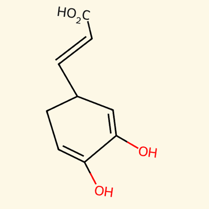 O=C(O)C=CC1C=C(O)C(O)=CC1